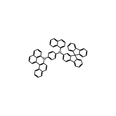 c1ccc2c(c1)-c1ccccc1C21c2ccccc2-c2ccc(N(c3ccc(N4c5ccc6ccccc6c5-c5cccc6cccc4c56)cc3)c3cccc4ccccc34)cc21